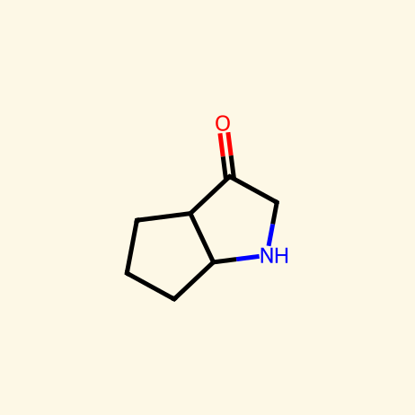 O=C1CNC2CCCC12